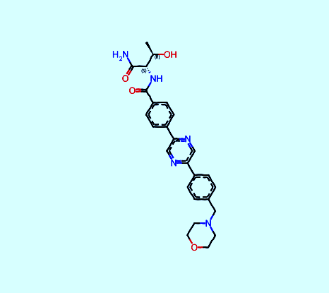 C[C@@H](O)[C@H](NC(=O)c1ccc(-c2cnc(-c3ccc(CN4CCOCC4)cc3)cn2)cc1)C(N)=O